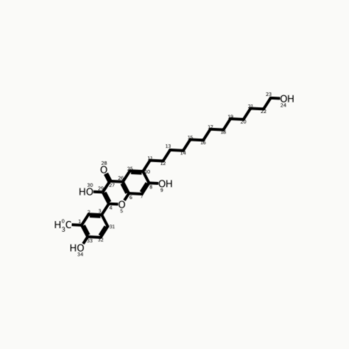 Cc1cc(-c2oc3cc(O)c(CCCCCCCCCCCCCO)cc3c(=O)c2O)ccc1O